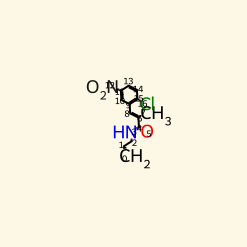 C=CCNC(=O)/C(C)=C/c1cc([N+](=O)[O-])ccc1Cl